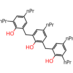 CCCc1cc(CCC)c(O)c(Cc2cc(CCC)cc(Cc3cc(CCC)cc(CCC)c3O)c2O)c1